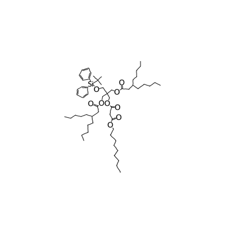 CCCCCCCCCOC(=O)CC(=O)OCC(COC(=O)CC(CCCCC)CCCCC)(COC(=O)CC(CCCCC)CCCCC)CO[Si](c1ccccc1)(c1ccccc1)C(C)(C)C